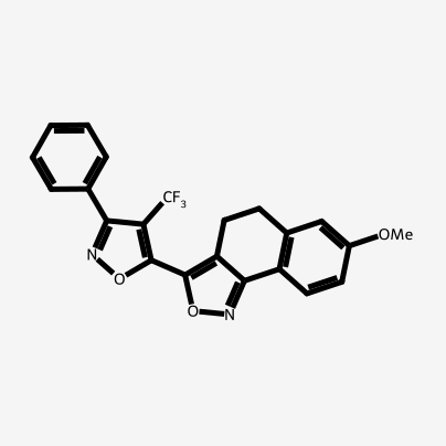 COc1ccc2c(c1)CCc1c-2noc1-c1onc(-c2ccccc2)c1C(F)(F)F